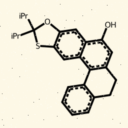 CC(C)C1(C(C)C)Oc2cc3c(O)cc4c(c3cc2S1)-c1ccccc1CC4